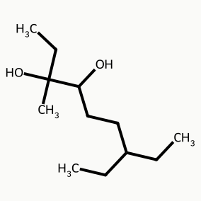 CCC(CC)CCC(O)C(C)(O)CC